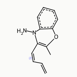 C=C/C=C\C1=C(C)Oc2ccccc2N1N